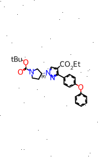 CCOC(=O)c1cn([C@@H]2CCN(C(=O)OC(C)(C)C)C2)nc1-c1ccc(Oc2ccccc2)cc1